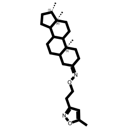 Cc1cc(CCON=C2CC[C@@]3(C)C(CCC4C3CC[C@@]3(C)C4CC[C@@H]3C)C2)no1